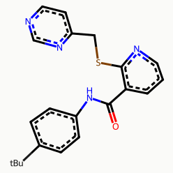 CC(C)(C)c1ccc(NC(=O)c2cccnc2SCc2ccncn2)cc1